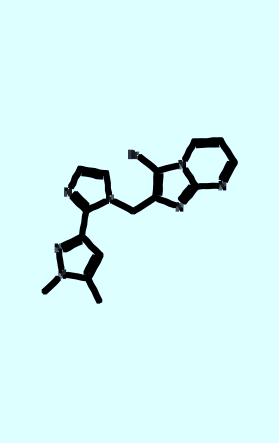 Cc1cc(-c2nccn2Cc2nc3ncccn3c2Br)nn1C